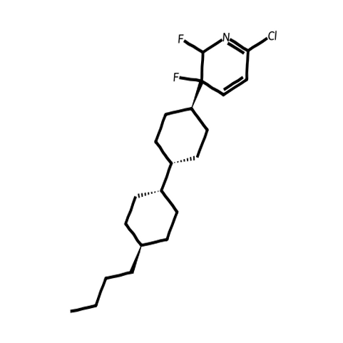 CCCC[C@H]1CC[C@H]([C@H]2CC[C@H](C3(F)C=CC(Cl)=NC3F)CC2)CC1